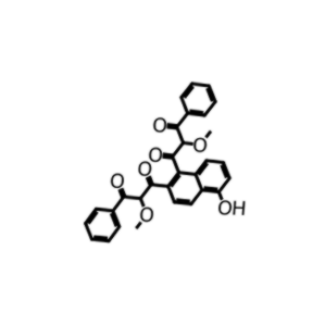 COC(C(=O)c1ccccc1)C(=O)c1ccc2c(O)cccc2c1C(=O)C(OC)C(=O)c1ccccc1